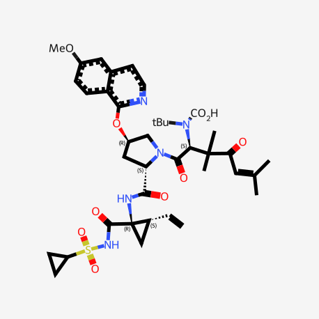 C=C[C@@H]1C[C@]1(NC(=O)[C@@H]1C[C@@H](Oc2nccc3cc(OC)ccc23)CN1C(=O)[C@@H](N(C(=O)O)C(C)(C)C)C(C)(C)C(=O)C=C(C)C)C(=O)NS(=O)(=O)C1CC1